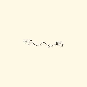 BCCC[CH2]